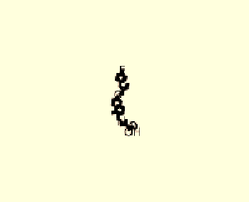 CCC(COc1ccc2c(c1)CCC(CN1CC(C(=O)O)C1)=C2C)Cc1ccc(F)cc1